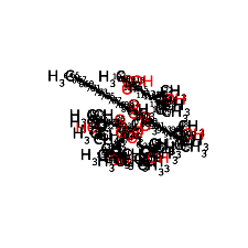 CC(OC(=O)CCc1cc(C(C)(C)C)c(O)c(C(C)(C)C)c1)C(COC(=O)CCc1cc(C(C)(C)C)c(O)c(C(C)(C)C)c1)OC(=O)CCc1cc(C(C)(C)C)c(O)c(C(C)(C)C)c1.CCCCCCCCCCCCCCCCCC(=O)OCCOC(=O)CCCCCCc1cc(C)c(O)c(C(C)(C)C)c1.CCOC(=O)C(O)CCCCCc1cc(C)c(O)c(C(C)(C)C)c1